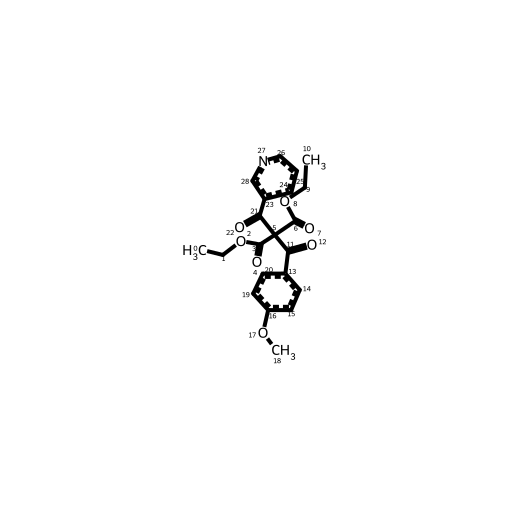 CCOC(=O)C(C(=O)OCC)(C(=O)c1ccc(OC)cc1)C(=O)c1cccnc1